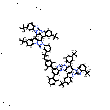 Cc1cccc(C)c1-c1cc(-c2c(C)cc(CC(C)(C)c3cccc4c3nc3n4c4c5c6cc(C(C)(C)C)ccc6n6c5c(c5c7cc(C(C)(C)C)ccc7n3c54)n3c4cc(C(C)(C)C)ccc4nc36)cc2C)c2nc3n(c2c1)c1c2c4cc(C(C)(C)C)ccc4n4c2c(c2c5cc(C(C)(C)C)ccc5n3c21)n1c2cccc(C(C)(C)C)c2nc14